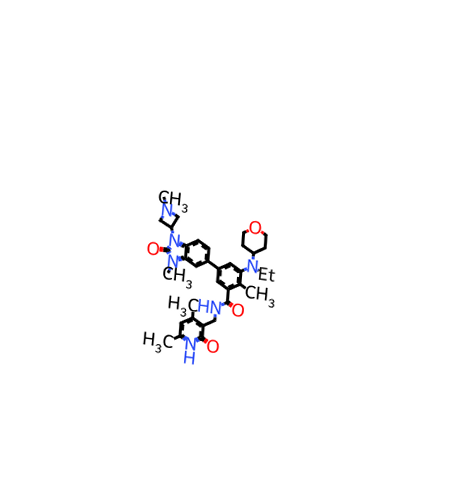 CCN(c1cc(-c2ccc3c(c2)n(C)c(=O)n3C2CN(C)C2)cc(C(=O)NCc2c(C)cc(C)[nH]c2=O)c1C)C1CCOCC1